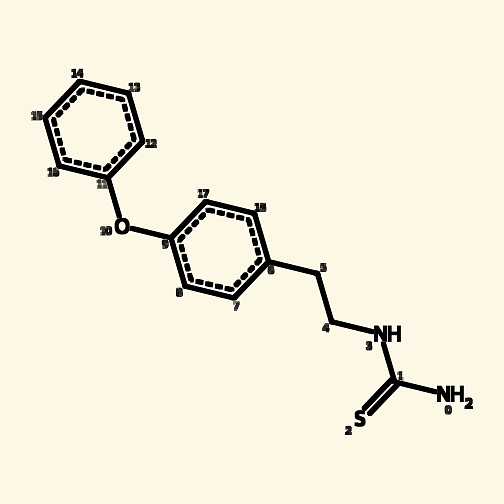 NC(=S)NCCc1ccc(Oc2ccccc2)cc1